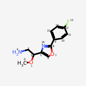 COC(CN)c1coc(-c2ccc(F)cc2)n1